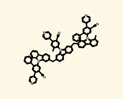 Cc1cc(-c2ccncc2)c(C#N)cc1-n1c2cc(Cc3ccc4c(c3)N(c3cc(C#N)c(-c5ccncc5)cc3-c3ccccc3)C3C=CC=CC43)ccc2c2ccc(Cc3ccc4c5cccc(C)c5n(-c5cc(C#N)c(-c6ccncc6)cc5-c5ccccc5)c4c3C)cc21